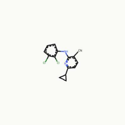 N#Cc1ccc(C2CC2)nc1Nc1cccc(Cl)c1Cl